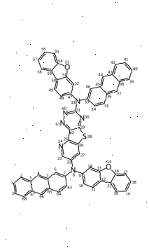 c1ccc2cc3cc(N(c4ccc5c(c4)oc4ccccc45)c4cnc5c(c4)sc4nc(N(c6ccc7cc8ccccc8cc7c6)c6ccc7c(c6)oc6ccccc67)nnc45)ccc3cc2c1